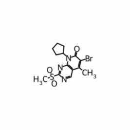 Cc1c(Br)c(=O)n(C2CCCC2)c2nc(S(C)(=O)=O)ncc12